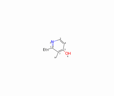 CCc1nccc(O)c1C